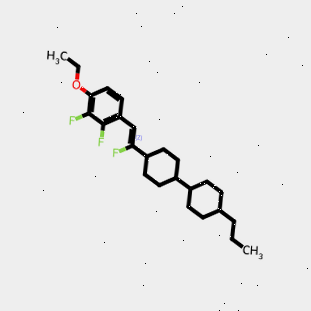 CCCC1CCC(C2CCC(/C(F)=C/c3ccc(OCC)c(F)c3F)CC2)CC1